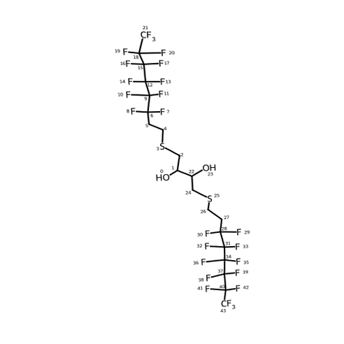 OC(CSCCC(F)(F)C(F)(F)C(F)(F)C(F)(F)C(F)(F)C(F)(F)F)C(O)CSCCC(F)(F)C(F)(F)C(F)(F)C(F)(F)C(F)(F)C(F)(F)F